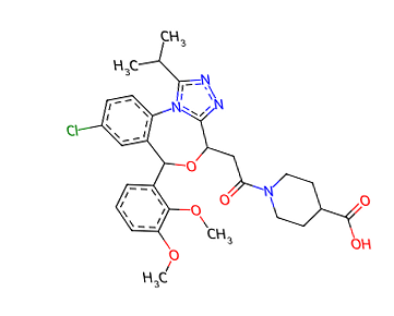 COc1cccc(C2OC(CC(=O)N3CCC(C(=O)O)CC3)c3nnc(C(C)C)n3-c3ccc(Cl)cc32)c1OC